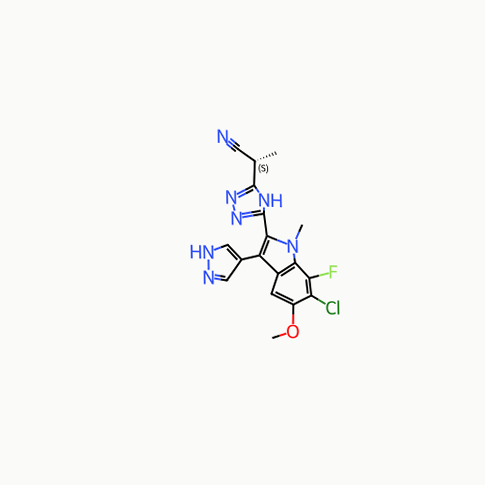 COc1cc2c(-c3cn[nH]c3)c(-c3nnc([C@@H](C)C#N)[nH]3)n(C)c2c(F)c1Cl